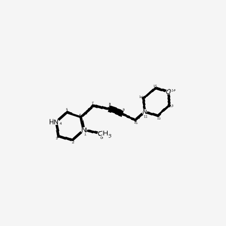 CN1CCNCC1CC#CCN1CCOCC1